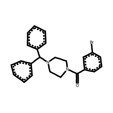 O=C(c1cccc(Br)c1)N1CCN(C(c2ccccc2)c2ccccc2)CC1